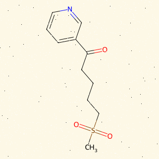 CS(=O)(=O)CCCCC(=O)c1cccnc1